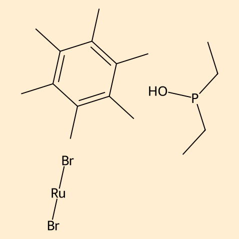 CCP(O)CC.Cc1c(C)c(C)c(C)c(C)c1C.[Br][Ru][Br]